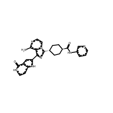 Nc1nccn2c1c(-c1cc3c(=O)[nH]ccc3[nH]1)nc2[C@H]1CC[C@H](C(=O)Nc2cccnc2)CC1